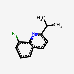 CC(C)c1ccc2cccc(Br)c2n1